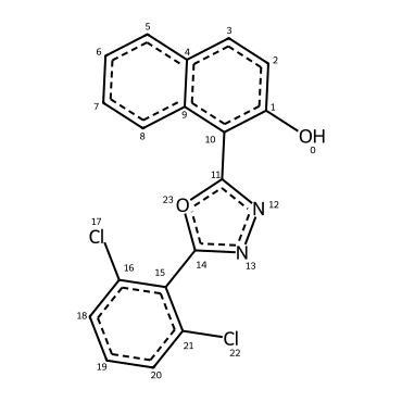 Oc1ccc2ccccc2c1-c1nnc(-c2c(Cl)cccc2Cl)o1